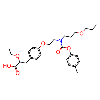 CCCOCCCN(CCOc1ccc(CC(OCC)C(=O)O)cc1)C(=O)Oc1ccc(C)cc1